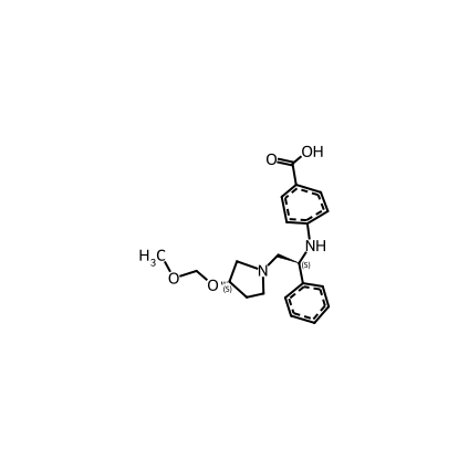 COCO[C@H]1CCN(C[C@@H](Nc2ccc(C(=O)O)cc2)c2ccccc2)C1